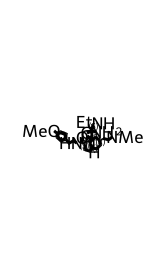 CC[C@H](N)C(=O)N[C@@H]1C(=O)N2[C@@H](CC[C@@H]1CCNC)CC[C@H]2C(=O)NCCc1ccc(OC)cc1